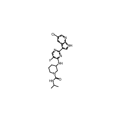 CC(C)NC(=O)N1CCCC(Nc2nc(-c3c[nH]c4ncc(Cl)cc34)ncc2F)C1